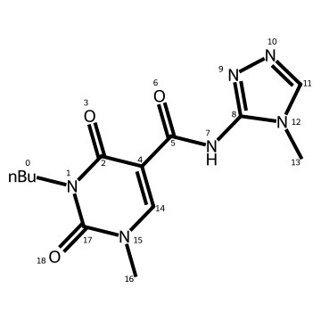 CCCCn1c(=O)c(C(=O)Nc2nncn2C)cn(C)c1=O